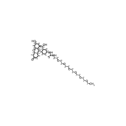 CCOCCOCCOCCOCCOCCOCCNC(=S)Nc1ccc(-c2c3ccc(=O)cc-3oc3cc(O)ccc23)c(C(=O)O)c1